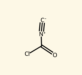 [C-]#[N+]C(=O)Cl